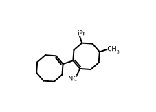 CC1CCC(C#N)=C(C2=CCCCCCC2)CC(C(C)C)C1